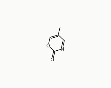 Cc1cnc(=O)oc1